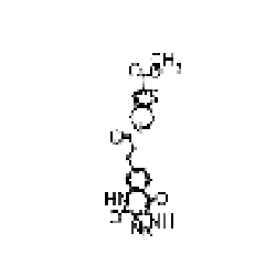 COC(=O)c1cc2c(s1)CCN(C(=O)CCc1ccc3c(=O)c4[nH]nnc4c(=O)[nH]c3c1)C2